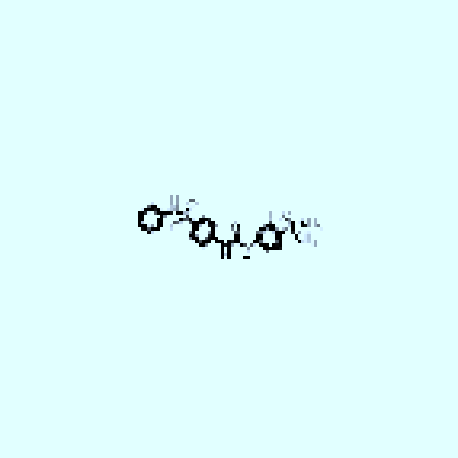 C[N+](C)(C)c1ccc(NC(=O)Nc2ccc(S(=O)(=O)Nc3ccccc3)cc2)cc1